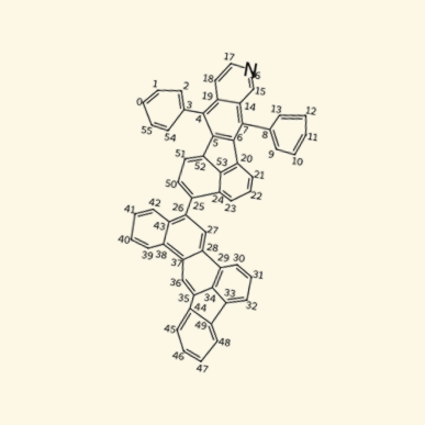 c1ccc(-c2c3c(c(-c4ccccc4)c4cnccc24)-c2cccc4c(-c5cc6c7cccc8c7c(cc6c6ccccc56)-c5ccccc5-8)ccc-3c24)cc1